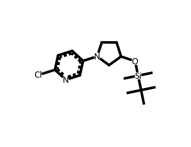 CC(C)(C)[Si](C)(C)OC1CCN(c2ccc(Cl)nc2)C1